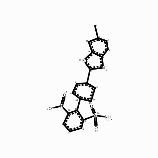 Cc1ccc2nc(-c3ccc(-c4c([N+](=O)[O-])cccc4S(N)(=O)=O)cc3)sc2c1